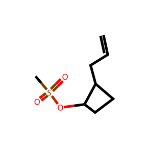 C=CCC1CCC1OS(C)(=O)=O